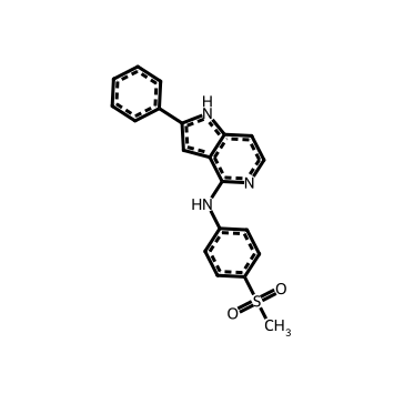 CS(=O)(=O)c1ccc(Nc2nccc3[nH]c(-c4ccccc4)cc23)cc1